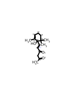 CC(=O)CC(=O)/C=C/C1(O)C(C)=CCCC1(C)C